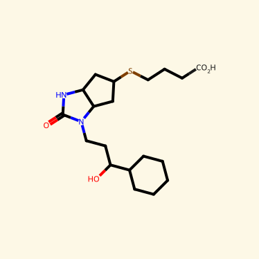 O=C(O)CCCSC1CC2NC(=O)N(CCC(O)C3CCCCC3)C2C1